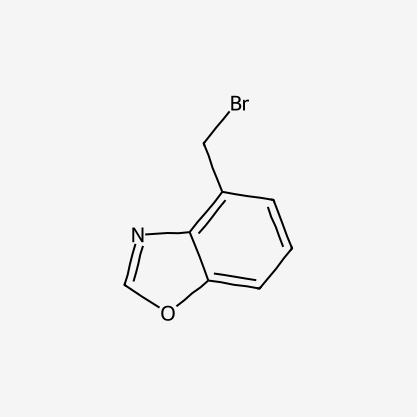 BrCc1cccc2ocnc12